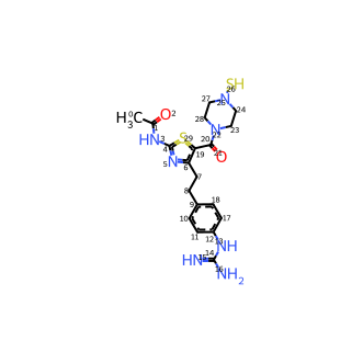 CC(=O)Nc1nc(CCc2ccc(NC(=N)N)cc2)c(C(=O)N2CCN(S)CC2)s1